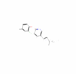 CCc1ccc(Oc2ccc(/C=C/[C@H](C)NC(C)=O)cn2)c(Cl)c1